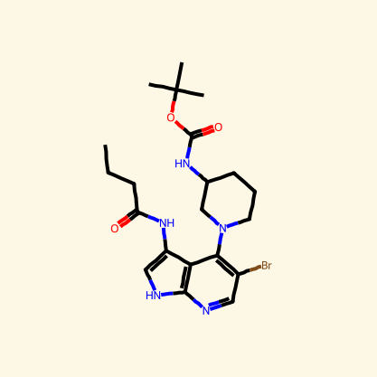 CCCC(=O)Nc1c[nH]c2ncc(Br)c(N3CCCC(NC(=O)OC(C)(C)C)C3)c12